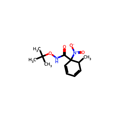 CC1C=CC=CC1(C(=O)NOC(C)(C)C)[N+](=O)[O-]